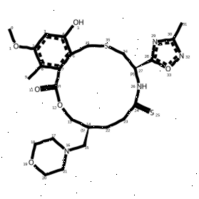 COc1cc(O)c2c(c1C)C(=O)OC[C@H](CN1CCOCC1)CCC(=S)N[C@H](c1nc(C)no1)CSC2